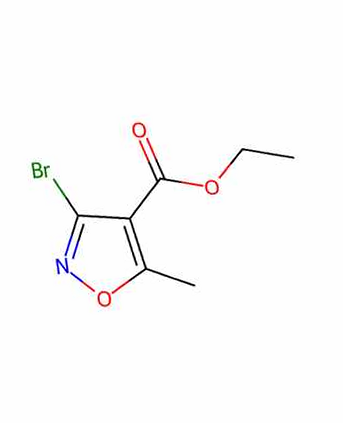 CCOC(=O)c1c(Br)noc1C